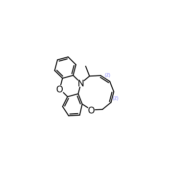 CC1/C=C\C=C/COc2cccc3c2N1c1ccccc1O3